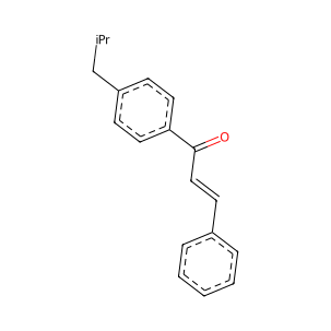 CC(C)Cc1ccc(C(=O)C=Cc2ccccc2)cc1